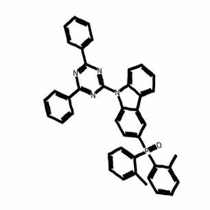 Cc1ccccc1P(=O)(c1ccc2c(c1)c1ccccc1n2-c1nc(-c2ccccc2)nc(-c2ccccc2)n1)c1ccccc1C